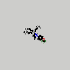 CCC[CH2][Sn]([CH2]CCC)([CH2]CCC)[c]1cc(C)n(-c2ccc(OC(F)(F)F)cc2)n1